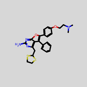 CN(C)CCOc1ccc(-c2oc3nc(N)nc(CC4SCCS4)c3c2-c2ccccc2)cc1